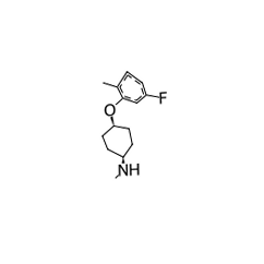 CN[C@H]1CC[C@@H](Oc2cc(F)ccc2C)CC1